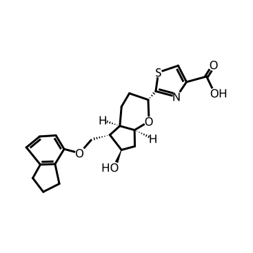 O=C(O)c1csc([C@H]2CC[C@@H]3[C@@H](COc4cccc5c4CCC5)[C@H](O)C[C@@H]3O2)n1